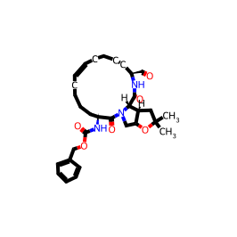 CC1(C)C[C@H]2C(CN3C(=O)[C@@H](NC(=O)OCc4ccccc4)CCCCC=CCCCC[C@@H](C=O)NC(=O)[C@H]23)O1